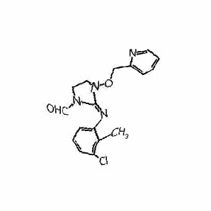 Cc1c(Cl)cccc1N=C1N(C=O)CCN1OCc1ccccn1